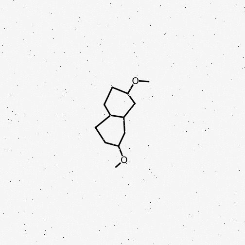 COC1CCC2CCC(OC)CC2C1